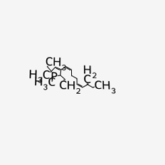 C=CC1C(/C=C\CC/C=C\C(=C)CC)=CC(C)(CC)P1C